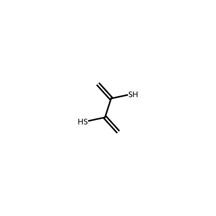 C=C(S)C(=C)S